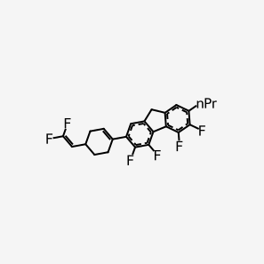 CCCc1cc2c(c(F)c1F)-c1c(cc(C3=CCC(C=C(F)F)CC3)c(F)c1F)C2